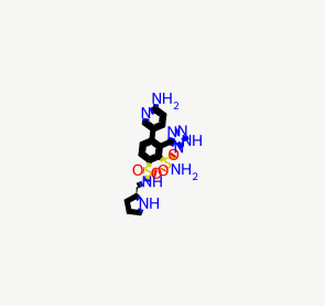 Nc1ccc(-c2ccc(S(=O)(=O)NC[C@H]3CCCN3)c(S(N)(=O)=O)c2-c2nn[nH]n2)cn1